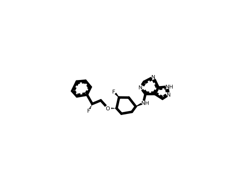 F[C@@H](CO[C@H]1CC[C@H](Nc2ncnc3[nH]ncc23)C[C@@H]1F)c1ccccc1